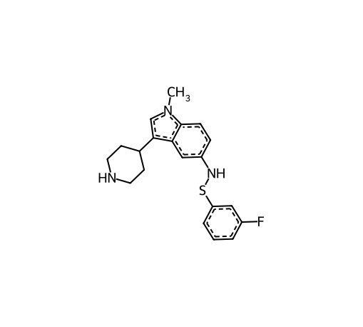 Cn1cc(C2CCNCC2)c2cc(NSc3cccc(F)c3)ccc21